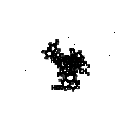 CC(C)[Si](C#Cc1nccc2cc(O)cc(-c3ncc4c(N5C[C@H]6CC[C@@H](C5)N6C(=O)OC(C)(C)C)nc(OC[C@@]56CCCN5C[C@H](F)C6)nc4c3F)c12)(C(C)C)C(C)C